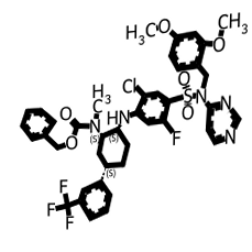 COc1ccc(CN(c2ccncn2)S(=O)(=O)c2cc(Cl)c(N[C@H]3CC[C@H](c4cccc(C(F)(F)F)c4)C[C@@H]3N(C)C(=O)OCc3ccccc3)cc2F)c(OC)c1